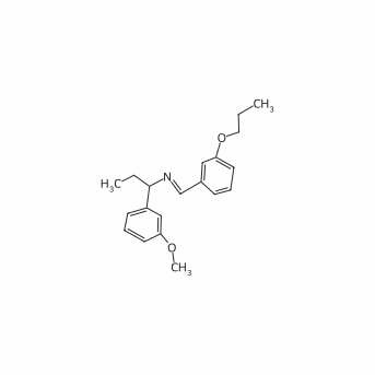 CCCOc1cccc(C=NC(CC)c2cccc(OC)c2)c1